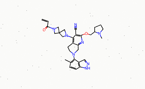 C=CC(=O)N1CC2(C1)CN(c1c(C#N)c(OCC3CCCN3C)nc3c1CCN(c1c(C)ccc4[nH]ncc14)C3)C2